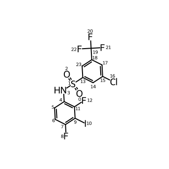 O=S(=O)(Nc1ccc(F)c(I)c1F)c1cc(Cl)cc(C(F)(F)F)c1